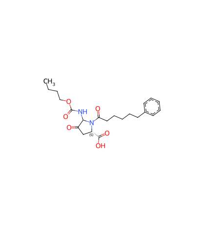 CCCCOC(=O)NC1C(=O)C[C@@H](C(=O)O)N1C(=O)CCCCCc1ccccc1